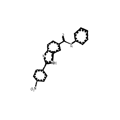 O=C(Nc1ccccc1)c1ccc2nc(-c3ccc([N+](=O)[O-])cc3)[nH]c2c1